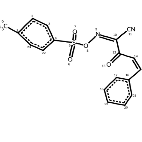 Cc1ccc(S(=O)(=O)O/N=C(/C#N)C(=O)/C=C\c2ccccc2)cc1